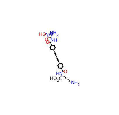 NCCCCC(NC(=O)c1ccc(C#CC#Cc2ccc(C(=O)N[C@@H](CN)C(=O)NO)cc2)cc1)C(=O)O